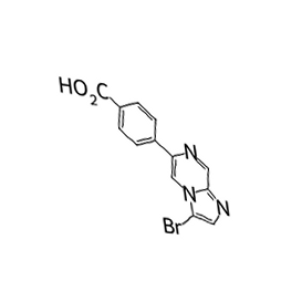 O=C(O)c1ccc(-c2cn3c(Br)cnc3cn2)cc1